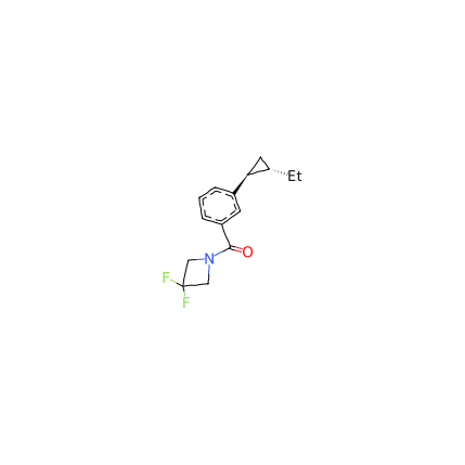 CC[C@H]1C[C@@H]1c1cccc(C(=O)N2CC(F)(F)C2)c1